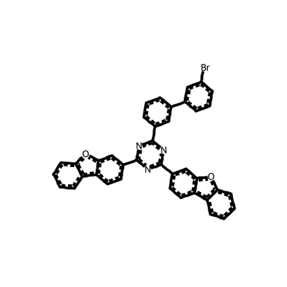 Brc1cccc(-c2cccc(-c3nc(-c4ccc5c(c4)oc4ccccc45)nc(-c4ccc5c(c4)oc4ccccc45)n3)c2)c1